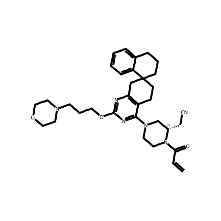 C=CC(=O)N1CCN(c2nc(OCCCN3CCOCC3)nc3c2CCC2(CCCc4ccccc42)C3)C[C@@H]1CC#N